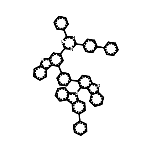 c1ccc(-c2ccc(-c3nc(-c4ccccc4)nc(-c4cc(-c5cccc(-c6ccc7oc8ccccc8c7c6-n6c7ccccc7c7cc(-c8ccccc8)ccc76)c5)c5c(c4)oc4ccccc45)n3)cc2)cc1